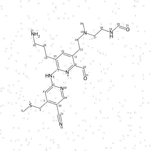 CSCc1cc(Nc2nc(C=O)c(CCN(C)CCNC=O)cc2CCCN)ncc1C#N